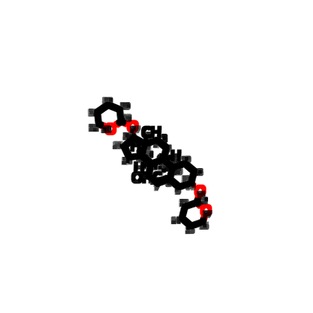 C[C@]12CC[C@H]3[C@@H](CC=C4C[C@@H](OC5CCCCO5)CC[C@@]43CC=O)[C@@H]1CC[C@@H]2OC1CCCCO1